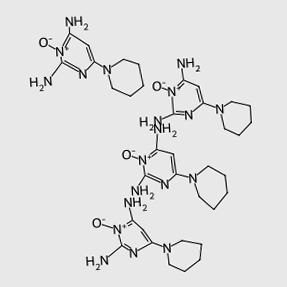 Nc1cc(N2CCCCC2)nc(N)[n+]1[O-].Nc1cc(N2CCCCC2)nc(N)[n+]1[O-].Nc1cc(N2CCCCC2)nc(N)[n+]1[O-].Nc1cc(N2CCCCC2)nc(N)[n+]1[O-]